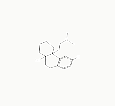 CN(C)CCC12CCCCC1(O)CCc1ccc(Cl)cc12